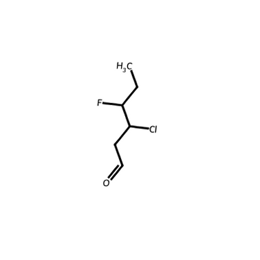 CCC(F)C(Cl)CC=O